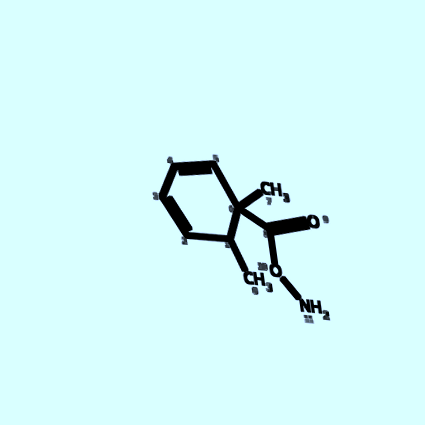 CC1C=CC=CC1(C)C(=O)ON